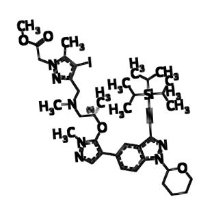 COC(=O)Cn1nc(CN(C)C[C@H](C)Oc2c(-c3ccc4c(c3)c(C#C[Si](C(C)C)(C(C)C)C(C)C)nn4C3CCCCO3)cnn2C)c(I)c1C